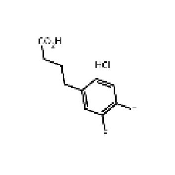 Cl.O=C(O)CCCc1ccc(F)c(F)c1